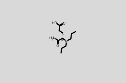 CCCN(CCC)[C@@H](CCC(=O)O)C(N)=O